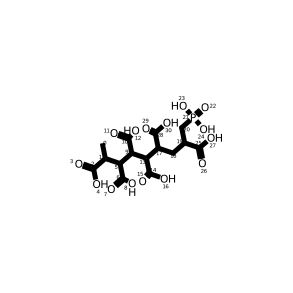 CC(C(=O)O)C(C(=O)O)C(C(=O)O)C(C(=O)O)C(CC(CP(=O)(O)O)C(=O)O)C(=O)O